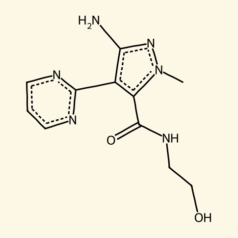 Cn1nc(N)c(-c2ncccn2)c1C(=O)NCCO